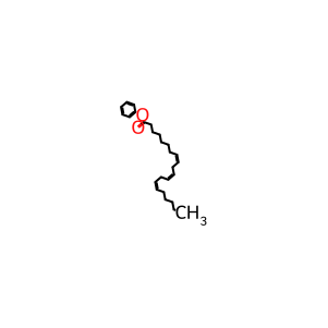 CCCCC/C=C\C/C=C\C/C=C\CCCCCCC(=O)Oc1ccccc1